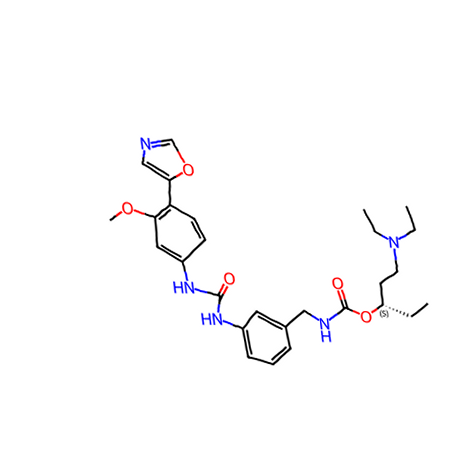 CC[C@@H](CCN(CC)CC)OC(=O)NCc1cccc(NC(=O)Nc2ccc(-c3cnco3)c(OC)c2)c1